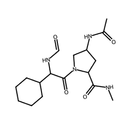 CNC(=O)C1CC(NC(C)=O)CN1C(=O)C(NC=O)C1CCCCC1